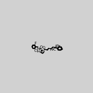 CC(C)[C@@](C#N)(CCCCC(=O)N1CCC[C@@H]1C(=O)NCc1c(F)cccc1Cl)c1ccccc1